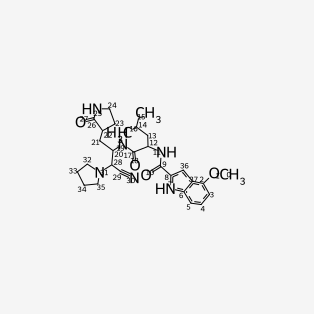 COc1cccc2[nH]c(C(=O)NC(CC(C)C)C(=O)NC(CC3CCNC3=O)C(C#N)N3CCCC3)cc12